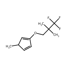 CC1C=CC(OCC(C)(C)C(F)(F)F)=C1